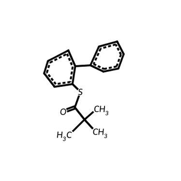 CC(C)(C)C(=O)Sc1ccccc1-c1ccccc1